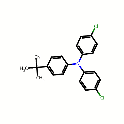 CC(C)(C#N)c1ccc(N(c2ccc(Cl)cc2)c2ccc(Cl)cc2)cc1